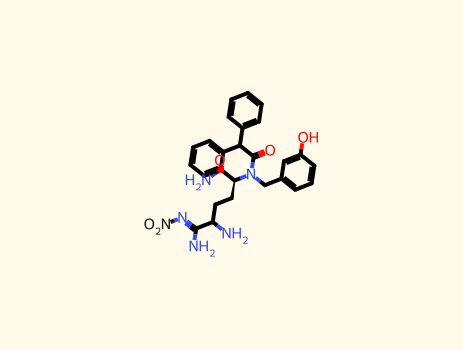 NC(=O)[C@H](CCC(N)C(N)=N[N+](=O)[O-])N(Cc1cccc(O)c1)C(=O)C(c1ccccc1)c1ccccc1